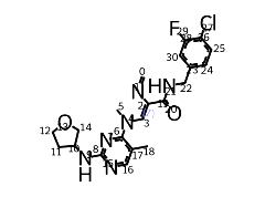 C=N/C(=C\N(C)c1nc(NC2CCOC2)ncc1C)C(=O)NCc1ccc(Cl)c(F)c1